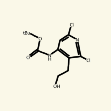 CC(C)(C)OC(=O)Nc1cc(Cl)nc(Cl)c1CCO